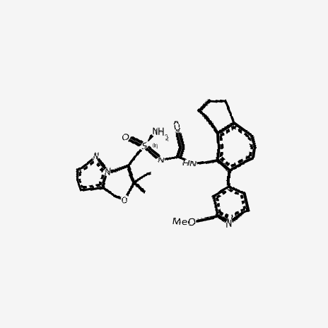 COc1cc(-c2ccc3c(c2NC(=O)N=[S@@](N)(=O)C2n4nccc4OC2(C)C)CCC3)ccn1